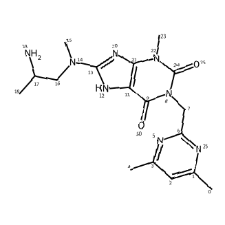 Cc1cc(C)nc(Cn2c(=O)c3[nH]c(N(C)CC(C)N)nc3n(C)c2=O)n1